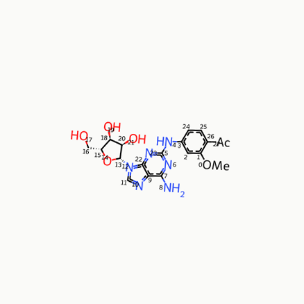 COc1cc(Nc2nc(N)c3ncn([C@@H]4O[C@H](CO)[C@@H](O)[C@H]4O)c3n2)ccc1C(C)=O